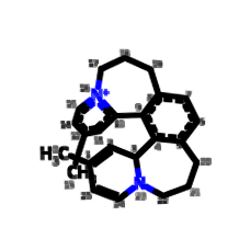 CC1=CC2c3c(ccc4c3-c3cc(C)cc[n+]3CCC4)CCCN2C=C1